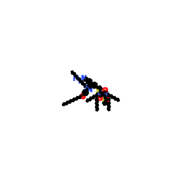 CCCCCCCCCCCCOc1ccc(-c2nc3c4cc(-c5ccc(C6=C7C(=O)N(CC(CCCCCC)CCCCCCCC)C(c8ccc(C(C)(C)C)s8)=C7C(=O)N6CC(CCCCCC)CCCCCCCC)s5)ccc4c4ccc(C(C)(C)N)cc4c3n2CCCCCCCCCCCC)cc1